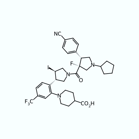 N#Cc1ccc([C@@H]2CN(C3CCCC3)C[C@@]2(F)C(=O)N2C[C@H](c3ccc(C(F)(F)F)cc3N3CCC(C(=O)O)CC3)[C@@H](I)C2)cc1